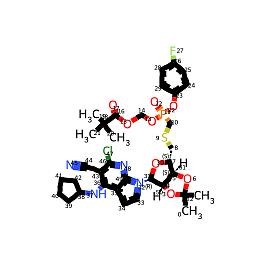 CC1(C)O[C@@H]2[C@H](O1)[C@@H](CSCP(=O)(OCOC(=O)C(C)(C)C)Oc1ccc(F)cc1)O[C@H]2n1ccc2c(NC3CCCC3)c(C#N)c(Cl)nc21